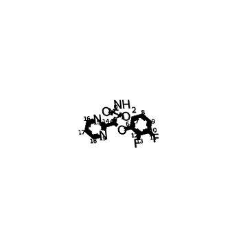 NS(=O)(=O)C(Oc1cccc(F)c1F)c1ncccn1